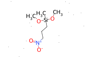 CO[Si](C)(CCC[N+](=O)[O-])OC